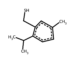 Cc1ccc(C(C)C)c(CS)c1